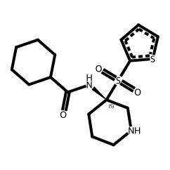 O=C(N[C@]1(S(=O)(=O)c2cccs2)CCCNC1)C1CCCCC1